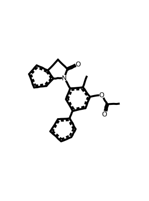 CC(=O)Oc1cc(-c2ccccc2)cc(N2C(=O)Cc3ccccc32)c1C